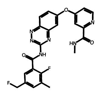 CNC(=O)c1cc(Oc2ccc3nnc(NC(=O)c4cc(CF)cc(C)c4F)nc3c2)ccn1